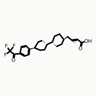 O=C(O)/C=C/C[C@H]1CC[C@H]([C@H]2CC[C@H](c3ccc(C(=O)C(F)(F)F)cc3)CC2)CC1